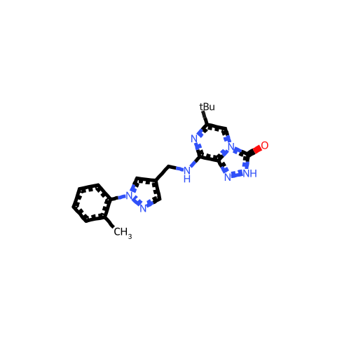 Cc1ccccc1-n1cc(CNc2nc(C(C)(C)C)cn3c(=O)[nH]nc23)cn1